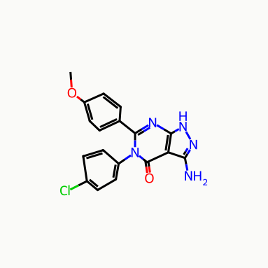 COc1ccc(-c2nc3[nH]nc(N)c3c(=O)n2-c2ccc(Cl)cc2)cc1